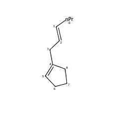 CCCC=CCC1=CCCC1